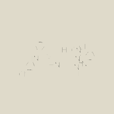 CN(C)c1nc(N[C@H]2CC[C@@H](NCCSC(CNc3ccc(Cl)cc3)c3ccccc3)CC2)nc2ccccc12